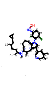 CCCC(CCC(CC)CC1CC1)N(C)/C1=C\CC/C=c2\c(c(C3=CN=CC(C)C(C)=C3)cn2-c2c(F)ccc(NO)c2F)=C/C1CC